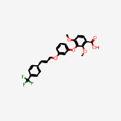 COc1ccc(C(=O)O)c(OC)c1Oc1cccc(OCC=Cc2ccc(C(F)(F)F)cc2)c1